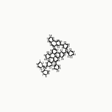 C1=CCC(N(c2ccccc2)c2ccc(-c3c(-c4ccccc4)cc(-c4ccc(N(c5ccccc5)c5ccccc5)cc4)c4c5ccc(-c6cc7ccccc7c7ccccc67)cc5c5ccccc5c34)cc2)C=C1